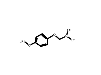 CCN(CC)COc1ccc(OC(C)(C)C)cc1